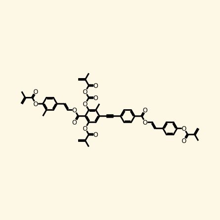 C=C(C)C(=O)OC(=O)Oc1c(C)c(C#Cc2ccc(C(=O)O/C=C/c3ccc(OC(=O)C(=C)C)cc3)cc2)cc(OC(=O)C(=C)C)c1C(=O)O/C=C/c1ccc(OC(=O)C(=C)C)c(C)c1